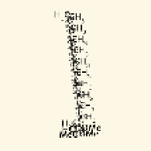 COc1c(O)c(C)c(C/C=C(\C)CC/C=C(\C)CC/C=C(\C)CC/C=C(\C)CC/C=C(\C)CC/C=C(\C)CC/C=C(\C)CC/C=C(\C)CC/C=C(\C)CCC=C(C)C)c(OC)c1OC